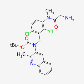 Cc1nc2ccccc2cc1N(Cc1c(Cl)ccc(N(C)C(=O)CN)c1Cl)C(=O)OC(C)(C)C